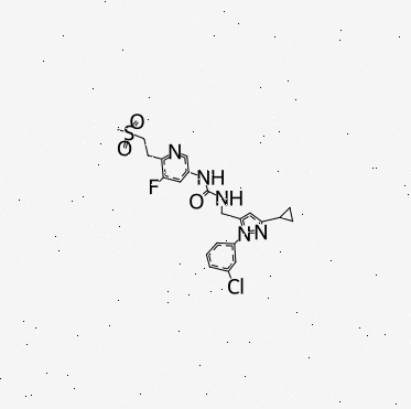 CS(=O)(=O)CCc1ncc(NC(=O)NCc2cc(C3CC3)nn2-c2cccc(Cl)c2)cc1F